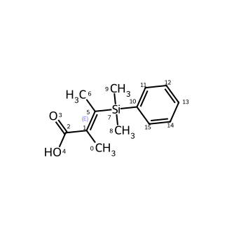 C/C(C(=O)O)=C(/C)[Si](C)(C)c1ccccc1